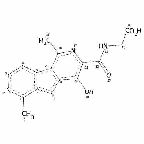 Cc1nccc2c1sc1c(O)c(C(=O)NCC(=O)O)nc(C)c12